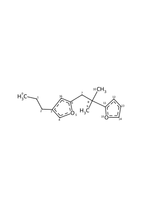 CCCc1coc(CC(C)(C)c2ccco2)c1